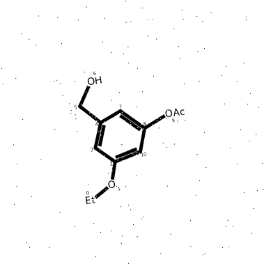 CCOc1cc([CH]O)cc(OC(C)=O)c1